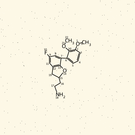 COc1cccc(-c2cc(F)cc3c2OC(CCN)C3)c1OC